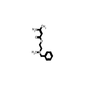 CC(N)=CC(=O)OCCN(C)Cc1ccccc1